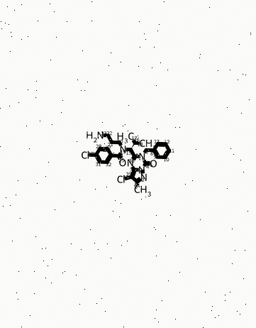 Cc1nn2c(=O)n(Cc3ccccc3)c([C@@H](C(C)C)N(CCCN)C(=O)c3ccc(Cl)cc3)nc2c1Cl